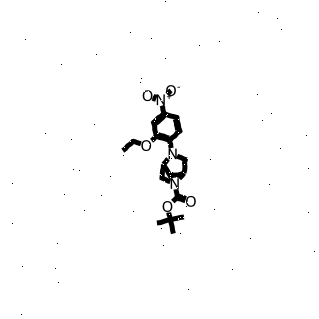 CCOc1cc([N+](=O)[O-])ccc1N1CC2CC1CN2C(=O)OC(C)(C)C